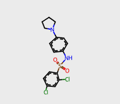 O=S(=O)(Nc1ccc(N2CCCC2)cc1)c1ccc(Cl)cc1Cl